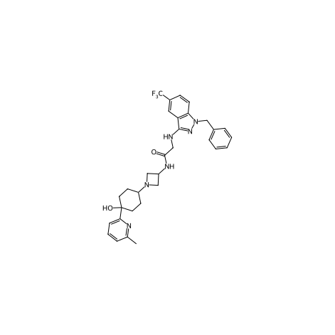 Cc1cccc(C2(O)CCC(N3CC(NC(=O)CNc4nn(Cc5ccccc5)c5ccc(C(F)(F)F)cc45)C3)CC2)n1